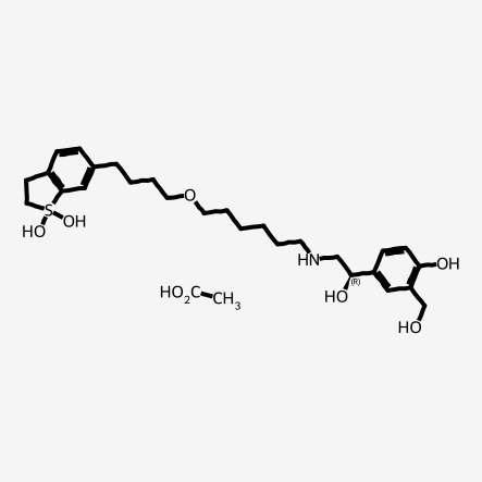 CC(=O)O.OCc1cc([C@@H](O)CNCCCCCCOCCCCc2ccc3c(c2)S(O)(O)CC3)ccc1O